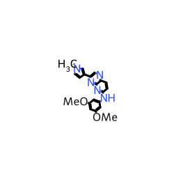 COc1cc(Nc2ccc3ncc(-c4ccn(C)c4)nc3n2)cc(OC)c1